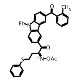 CCn1c2ccc(C(=O)/C(CCSc3ccccc3)=N\OC(C)=O)cc2c2cc(C(=O)c3ccccc3C)ccc21